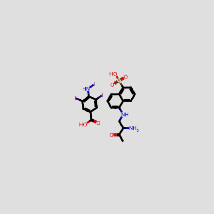 CC(=O)C(N)CNc1cccc2c(S(=O)(=O)O)cccc12.O=C(O)c1cc(I)c(NI)c(I)c1